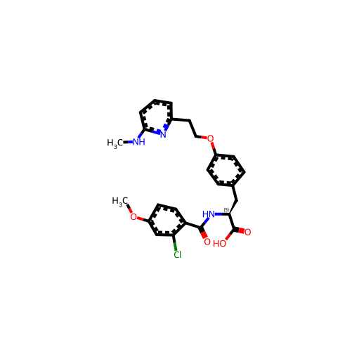 CNc1cccc(CCOc2ccc(C[C@H](NC(=O)c3ccc(OC)cc3Cl)C(=O)O)cc2)n1